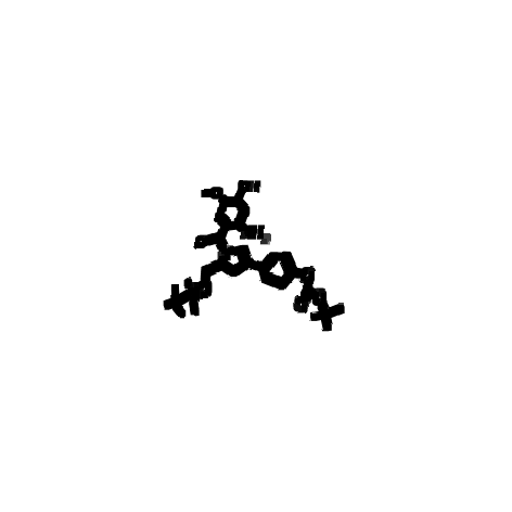 COc1cc(C(=O)N2C=C(c3ccc(OC(=O)OC(C)(C)C)cc3)CC2CO[Si](C)(C)C(C)(C)C)c(N)cc1O